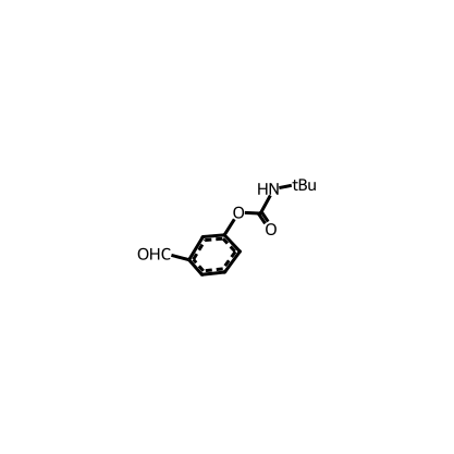 CC(C)(C)NC(=O)Oc1cccc(C=O)c1